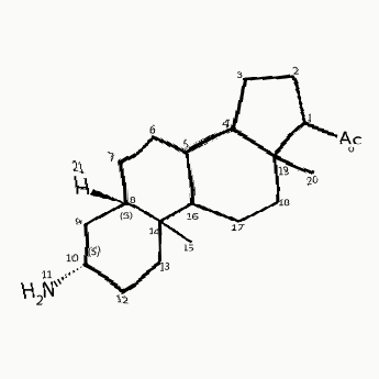 CC(=O)C1CCC2C3CC[C@H]4C[C@@H](N)CCC4(C)C3CCC12C